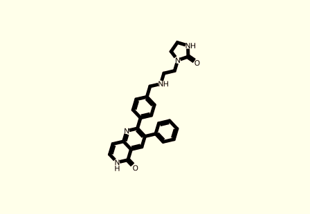 O=C1NCCN1CCNCc1ccc(-c2nc3cc[nH]c(=O)c3cc2-c2ccccc2)cc1